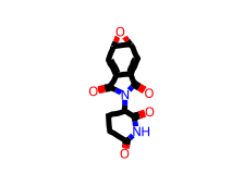 O=C1CCC(N2C(=O)C3=CC4OC4C=C3C2=O)C(=O)N1